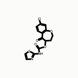 O=C(Nc1nccs1)OC1CCOc2cc(Cl)ccc2C1=O